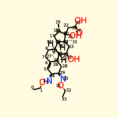 CCON=C1C=C2CC[C@@H]3[C@H]([C@@H](O)C[C@@]4(C)[C@H]3C[C@@H](C)[C@]4(O)CC(=O)O)[C@@]2(C)CC1=NOCC